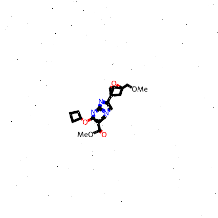 COCC12CC(c3cn4cc(C(=O)OC)c(OC5CCC5)nc4n3)(CO1)C2